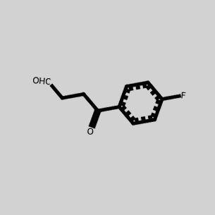 O=CCCC(=O)c1ccc(F)cc1